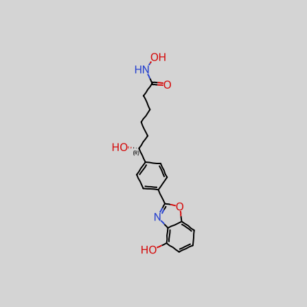 O=C(CCCC[C@@H](O)c1ccc(-c2nc3c(O)cccc3o2)cc1)NO